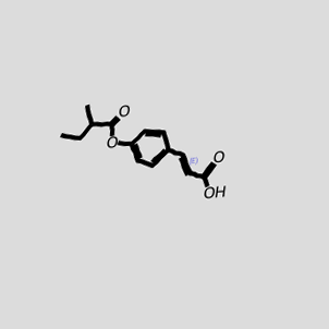 CCC(C)C(=O)Oc1ccc(/C=C/C(=O)O)cc1